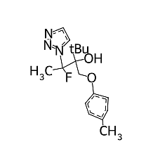 Cc1ccc(OCC(O)(C(C)(C)C)C(C)(F)n2ccnn2)cc1